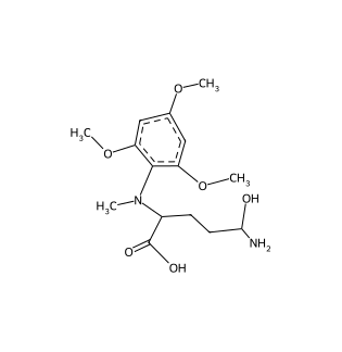 COc1cc(OC)c(N(C)C(CCC(N)O)C(=O)O)c(OC)c1